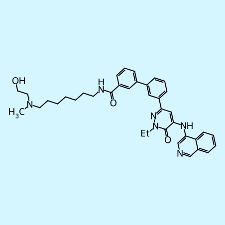 CCn1nc(-c2cccc(-c3cccc(C(=O)NCCCCCCCN(C)CCO)c3)c2)cc(Nc2cncc3ccccc23)c1=O